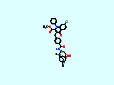 COC(=O)c1c(Cc2ccc(C(=O)N[C@@H]3CC[C@@]4(O)CC5C[C@H](C[C@@H]53)C4)cc2)c(=O)c2ccc(Cl)cc2n1-c1ccccc1